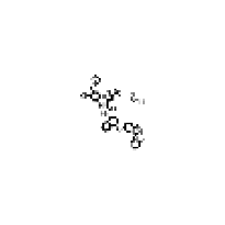 CC1CCCCN1c1nnc2ccc(O[C@@H]3CC[C@H](NC(=O)Nc4cc(C(C)(C)C)nn4-c4ccc(Cl)c(CN5CCCC5)c4)c4ccccc43)cn12.O=CO